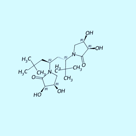 CC(C)(C)C[C@@H](C[C@H](N1C[C@@H](O)[C@@H](O)C1=O)C(C)(C)C)N1C[C@@H](O)[C@@H](O)C1=O